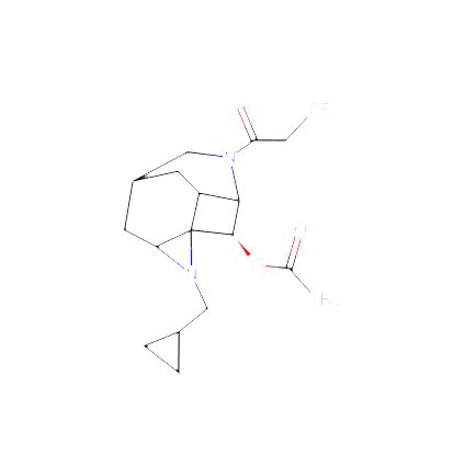 CC(C)(C)C(=O)O[C@@H]1C2C3CC(CC4N(CC5CC5)C341)CN2C(=O)CC(F)(F)F